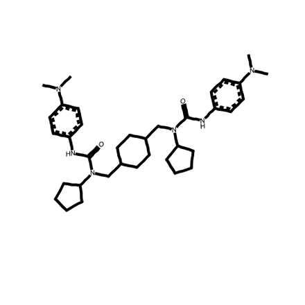 CN(C)c1ccc(NC(=O)N(CC2CCC(CN(C(=O)Nc3ccc(N(C)C)cc3)C3CCCC3)CC2)C2CCCC2)cc1